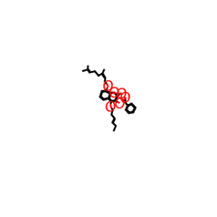 CCC=CCCOc1c(OC(=O)c2ccccc2)c(=O)oc2c(OCC=C(C)CCC=C(C)C)cccc12